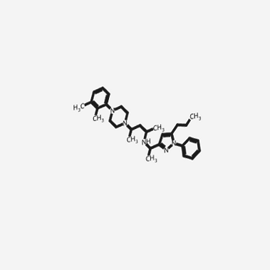 CCCc1cc(C(C)NC(C)CC(C)N2CCN(c3cccc(C)c3C)CC2)nn1-c1ccccc1